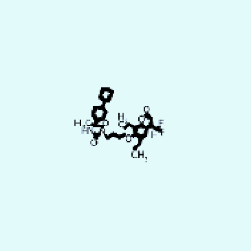 CCCc1cc2c(C(F)(F)F)cc(=O)oc2c(CCC)c1OCCCCN1C(=O)NC(C)(c2ccc(-c3ccccc3)cc2)C1=O